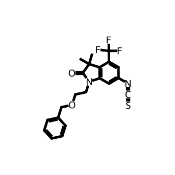 CC1(C)C(=O)N(CCOCc2ccccc2)c2cc(N=C=S)cc(C(F)(F)F)c21